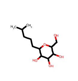 CC(C)CCCC1OC(CO)C(O)C(O)C1O